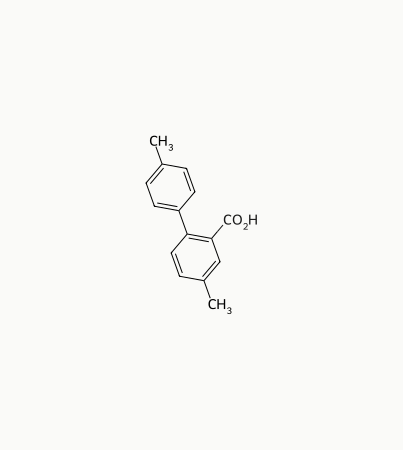 Cc1ccc(-c2ccc(C)cc2C(=O)O)cc1